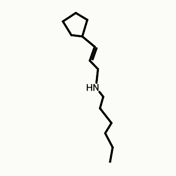 CCCCCCNCC=CC1CCCC1